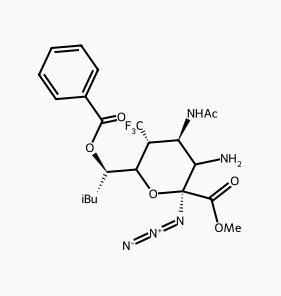 CC[C@@H](C)[C@@H](OC(=O)c1ccccc1)C1O[C@](N=[N+]=[N-])(C(=O)OC)C(N)[C@H](NC(C)=O)[C@H]1C(F)(F)F